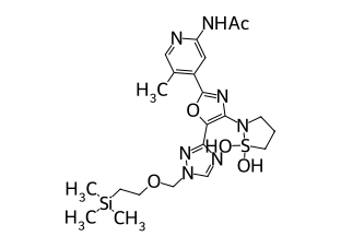 CC(=O)Nc1cc(-c2nc(N3CCCS3(O)O)c(-c3ncn(COCC[Si](C)(C)C)n3)o2)c(C)cn1